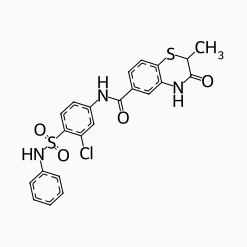 CC1Sc2ccc(C(=O)Nc3ccc(S(=O)(=O)Nc4ccccc4)c(Cl)c3)cc2NC1=O